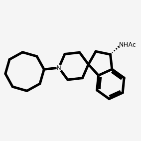 CC(=O)N[C@H]1CC2(CCN(C3CCCCCCC3)CC2)c2ccccc21